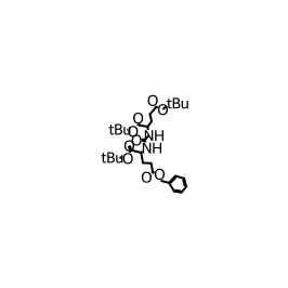 CC(C)(C)OC(=O)CCC(NC(=O)NC(CCC(=O)OCc1ccccc1)C(=O)OC(C)(C)C)C(=O)OC(C)(C)C